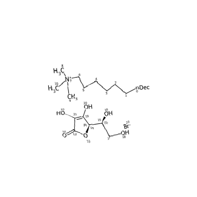 CCCCCCCCCCCCCCCC[N+](C)(C)C.O=C1O[C@H]([C@@H](O)CO)C(O)=C1O.[Br-]